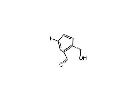 O=Cc1cc(I)ccc1CO